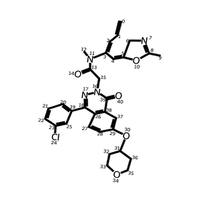 C=C/C=C(\C=C1/CN=C(C)O1)N(C)C(=O)Cn1nc(-c2cccc(Cl)c2)c2ccc(OC3CCOCC3)cc2c1=O